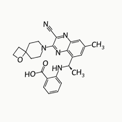 Cc1cc([C@@H](C)Nc2ccccc2C(=O)O)c2nc(N3CCC4(CCO4)CC3)c(C#N)nc2c1